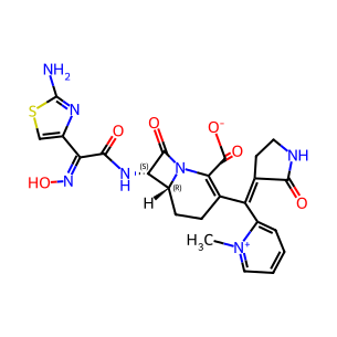 C[n+]1ccccc1C(=C1CCNC1=O)C1=C(C(=O)[O-])N2C(=O)[C@@H](NC(=O)C(=NO)c3csc(N)n3)[C@H]2CC1